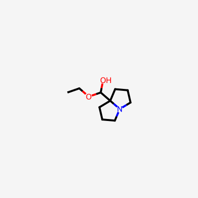 CCOC(O)C12CCCN1CCC2